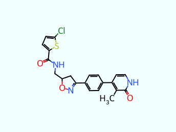 Cc1c(-c2ccc(C3=NOC(CNC(=O)c4ccc(Cl)s4)C3)cc2)cc[nH]c1=O